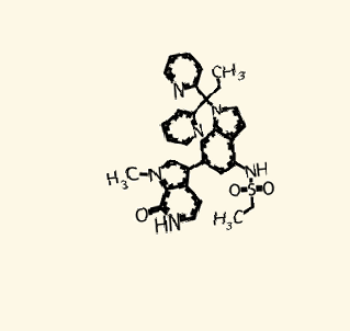 CCC(c1ccccn1)(c1ccccn1)n1ccc2c(NS(=O)(=O)CC)cc(-c3cn(C)c4c(=O)[nH]ccc34)cc21